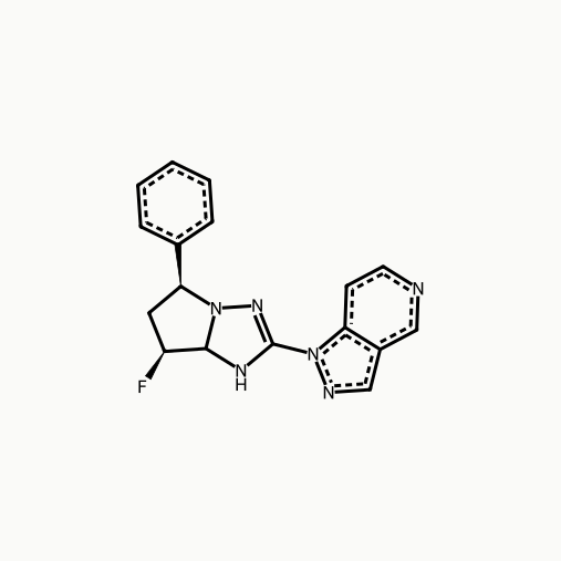 F[C@H]1C[C@@H](c2ccccc2)N2N=C(n3ncc4cnccc43)NC12